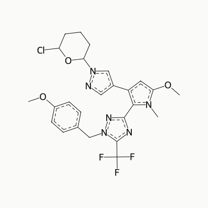 COc1ccc(Cn2nc(-c3c(-c4cnn(C5CCCC(Cl)O5)c4)cc(OC)n3C)nc2C(F)(F)F)cc1